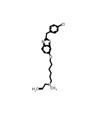 C=CCN(C)CCCCCCOc1ccc2nc(Cc3ccc(Cl)cc3)sc2c1